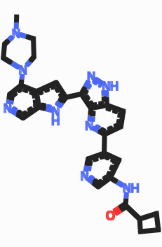 CN1CCN(c2cncc3[nH]c(-c4n[nH]c5ccc(-c6cncc(NC(=O)C7CCC7)c6)nc45)cc23)CC1